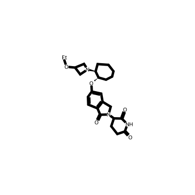 CCOC1CN([C@H]2CCCCC[C@@H]2Oc2ccc3c(c2)CN(C2CCC(=O)NC2=O)C3=O)C1